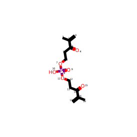 C=C(C)C(=O)CCOP(=O)(O)OCCC(=O)C(=C)C